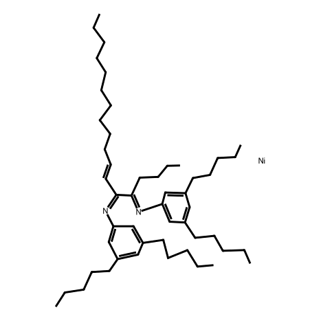 CCCCCCCCCCC=CC(=Nc1cc(CCCCC)cc(CCCCC)c1)C(CCCC)=Nc1cc(CCCCC)cc(CCCCC)c1.[Ni]